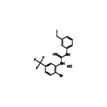 CCc1cccc(NC(=N)Nc2cc(C(F)(F)F)ccc2Br)c1.Cl